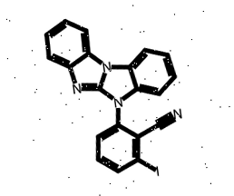 N#Cc1c(I)cccc1-n1c2ccccc2n2c3ccccc3nc12